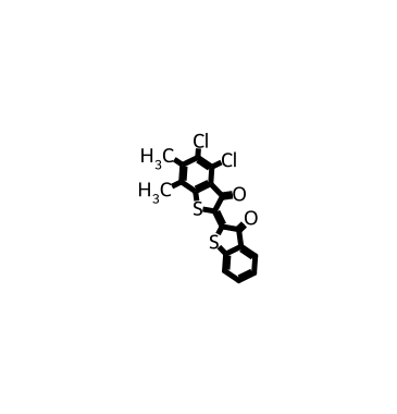 Cc1c(C)c2c(c(Cl)c1Cl)C(=O)C(=C1Sc3ccccc3C1=O)S2